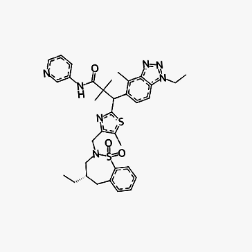 CC[C@H]1Cc2ccccc2S(=O)(=O)N(Cc2nc(C(c3ccc4c(nnn4CC)c3C)C(C)(C)C(=O)Nc3cccnc3)sc2C)C1